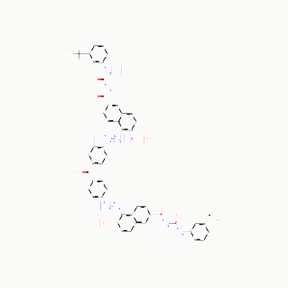 O=C(NC(=O)c1ccc2c(NNc3ccc(C(=O)c4ccc(NNc5c(O)ccc6cc(C(=O)NC(=O)Nc7cccc(C(F)(F)F)c7)ccc56)cc4)cc3)c(O)ccc2c1)Nc1cccc(C(F)(F)F)c1